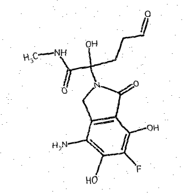 CNC(=O)C(O)(CCC=O)N1Cc2c(N)c(O)c(F)c(O)c2C1=O